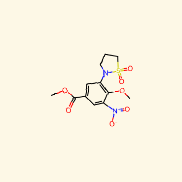 COC(=O)c1cc(N2CCCS2(=O)=O)c(OC)c([N+](=O)[O-])c1